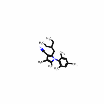 CCC(CC)Cc1c(C#N)c(C)c(C)n1-c1c(C)cc(C)cc1C